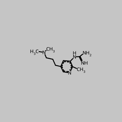 Cc1ncc(CCCN(C)C)cc1NC(=N)N